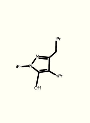 CCCc1c(CC(C)C)nn(C(C)C)c1O